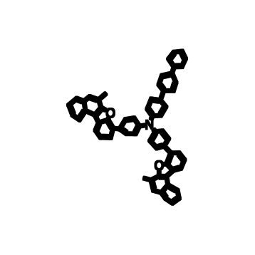 Cc1cc2ccccc2c2c1oc1c(-c3ccc(N(c4ccc(-c5ccc(-c6ccccc6)cc5)cc4)c4ccc(-c5cccc6c5oc5c(C)cc7ccccc7c56)cc4)cc3)cccc12